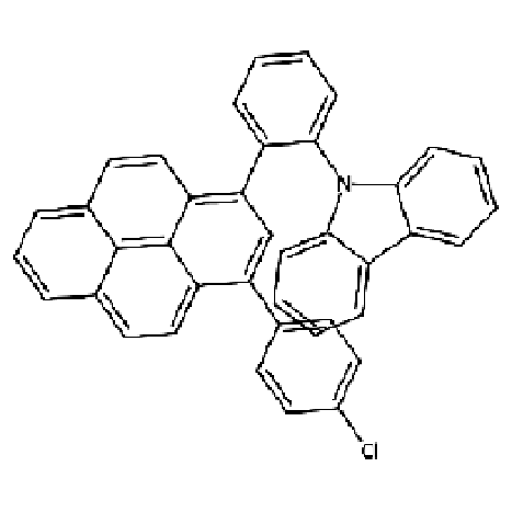 Clc1ccc(-c2cc(-c3ccccc3-n3c4ccccc4c4ccccc43)c3ccc4cccc5ccc2c3c54)cc1